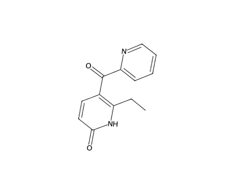 CCc1[nH]c(=O)ccc1C(=O)c1ccccn1